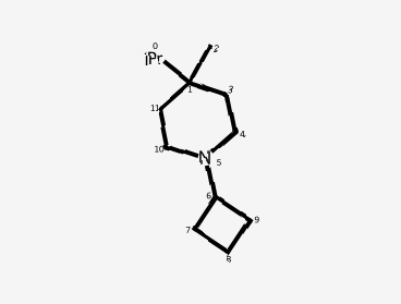 CC(C)C1(C)CCN(C2CCC2)CC1